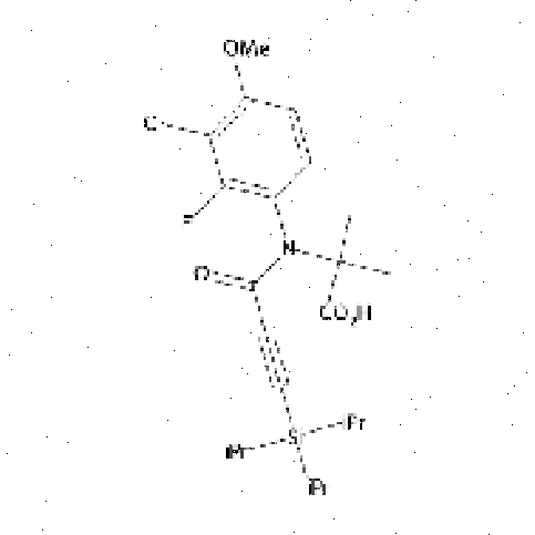 COc1ccc(N(C(=O)C#C[Si](C(C)C)(C(C)C)C(C)C)C(C)(C)C(=O)O)c(F)c1Cl